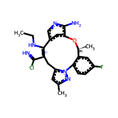 CCN/C1=C(\C(=N)Cl)Cc2cc(C)nn2-c2ccc(F)cc2[C@@H](C)Oc2cc1cnc2N